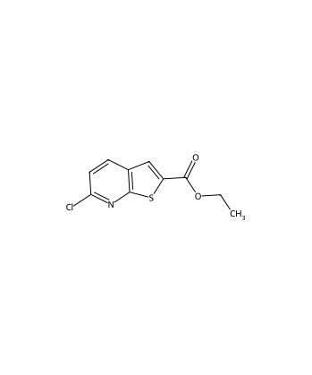 CCOC(=O)c1cc2ccc(Cl)nc2s1